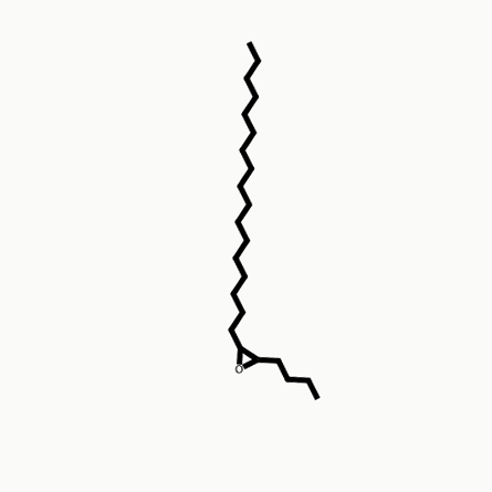 CCCCCCCCCCCCCCCCCC1OC1CCCC